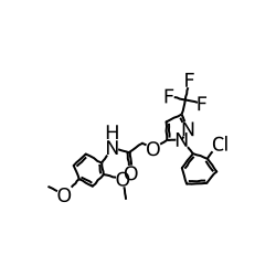 COc1ccc(NC(=O)COc2cc(C(F)(F)F)nn2-c2ccccc2Cl)c(OC)c1